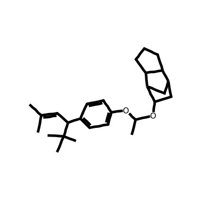 CC(C)=CC(c1ccc(OC(C)OC2CC3CC2C2CCCC32)cc1)C(C)(C)C